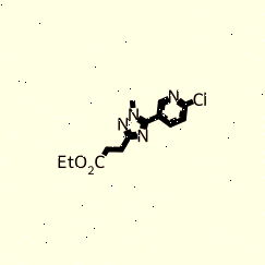 CCOC(=O)CCc1nc(-c2ccc(Cl)nc2)n(C)n1